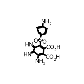 N=C1C(=N)C(S(=O)(=O)c2ccc(N)cc2)=C(C(=O)O)C(C(=O)O)=C1N